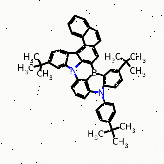 CC(C)(C)c1ccc(N2c3ccc(C(C)(C)C)cc3B3c4c2cccc4-n2c4cc(C(C)(C)C)ccc4c4c5c(ccc6ccccc65)cc3c42)cc1